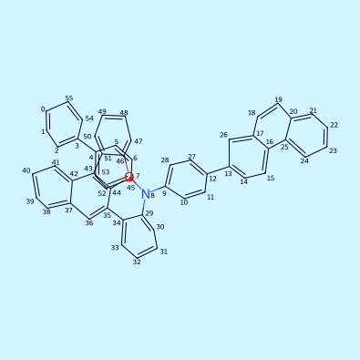 c1ccc(-c2ccc(N(c3ccc(-c4ccc5c(ccc6ccccc65)c4)cc3)c3ccccc3-c3cc4ccccc4c4c3oc3ccccc34)cc2)cc1